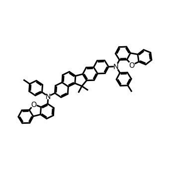 Cc1ccc(N(c2ccc3cc4c(cc3c2)C(C)(C)c2c-4ccc3cc(N(c4ccc(C)cc4)c4cccc5c4oc4ccccc45)ccc23)c2cccc3c2oc2ccccc23)cc1